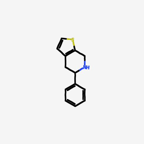 c1ccc(C2Cc3ccsc3CN2)cc1